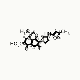 Cc1cc(N[C@@H]2CCN(c3c(F)cc4c(=O)c(C(=O)O)cn5c4c3OCN5C)C2)on1